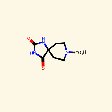 O=C1NC(=O)C2(CCN(C(=O)O)CC2)N1